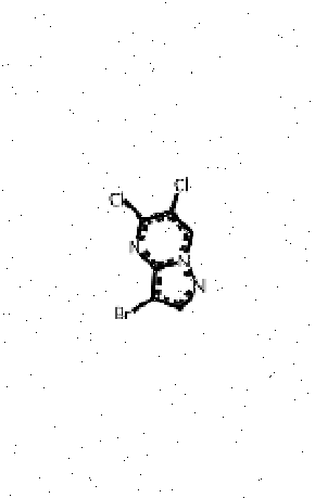 Clc1cn2ncc(Br)c2nc1Cl